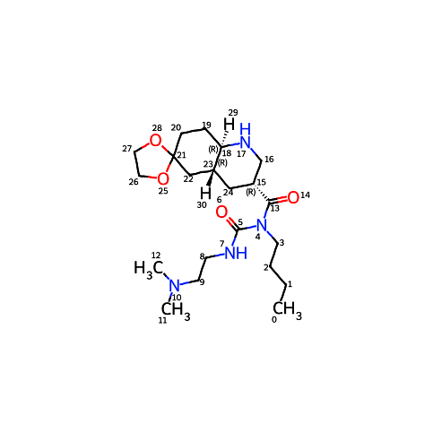 CCCCN(C(=O)NCCN(C)C)C(=O)[C@H]1CN[C@@H]2CCC3(C[C@H]2C1)OCCO3